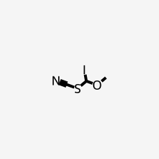 COC(I)SC#N